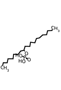 CCCCCCCCCCCC(CCCCCCCC)OP(=O)(O)O